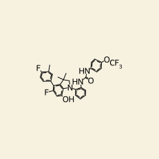 Cc1cc(-c2c(F)cc(O)c3c2C(C)(C)CN3c2ccccc2NC(=O)Nc2ccc(OC(F)(F)F)cc2)ccc1F